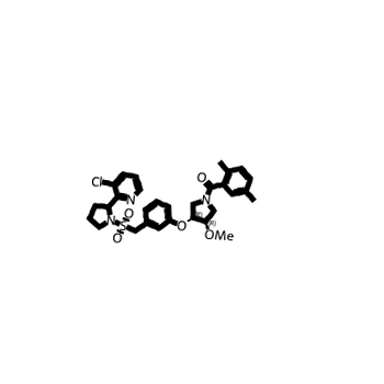 CO[C@@H]1CN(C(=O)c2cc(C)ccc2C)C[C@H]1Oc1cccc(CS(=O)(=O)N2CCCC2c2ncccc2Cl)c1